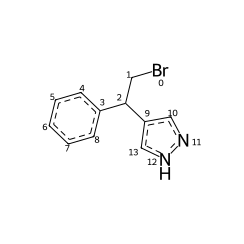 BrCC(c1ccccc1)c1cn[nH]c1